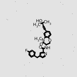 CN1C(=O)[C@@H](NC(=O)c2cc(Cc3ccc(F)cc3)ccn2)COc2ccc(C#CC(C)(C)O)cc21